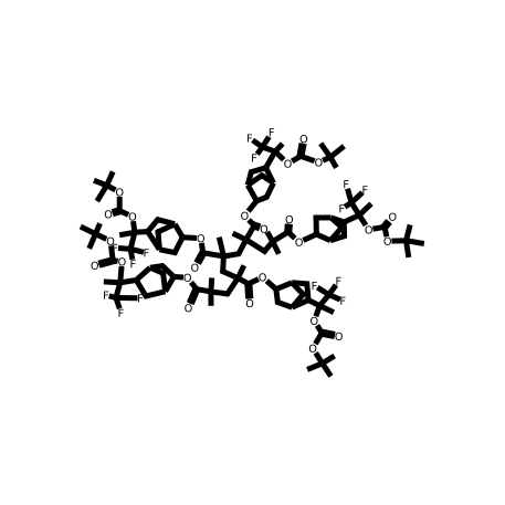 CC(C)(C)OC(=O)OC(C)(C1CC2CC1CC2OC(=O)C(C)(C)CC(C)(CC(C)(CC(C)(CC(C)(C)C(=O)OC1CC2CC1CC2C(C)(OC(=O)OC(C)(C)C)C(F)(F)F)C(=O)OC1CC2CC1CC2C(C)(OC(=O)OC(C)(C)C)C(F)(F)F)C(=O)OC1CC2CC1CC2C(C)(OC(=O)OC(C)(C)C)C(F)(F)F)C(=O)OC1CC2CC1CC2C(C)(OC(=O)OC(C)(C)C)C(F)(F)F)C(F)(F)F